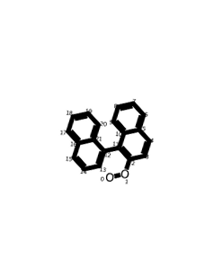 [O]Oc1ccc2ccccc2c1-c1cccc2ccccc12